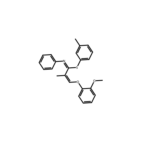 COc1ccccc1OC=C(C)/C(=N\c1ccccc1)Sc1cccc(C)c1